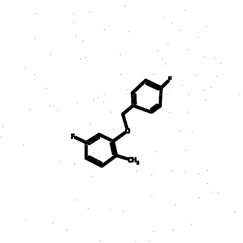 Cc1ccc(F)cc1OCc1ccc(F)cc1